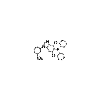 CC(C)(C)c1cccc(-n2cnc3c4c5c(cc32)Oc2ccccc2B5c2ccccc2O4)c1